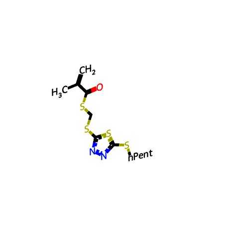 C=C(C)C(=O)SCSc1nnc(SCCCCC)s1